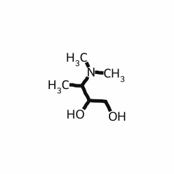 CC(C(O)CO)N(C)C